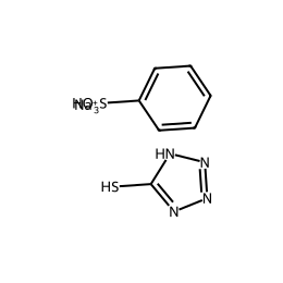 O=S(=O)(O)c1ccccc1.Sc1nnn[nH]1.[Na+]